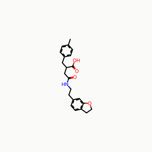 Cc1ccc(CC(CC(=O)NCCc2ccc3c(c2)OCC3)C(=O)O)cc1